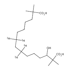 [2H]C([2H])(CCCCC(C)(C)C(=O)O)CC([2H])([2H])CCCC(O)C(C)(C)C(=O)O